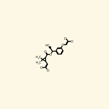 C#CC(OC(=O)C1C(C=C(Cl)Cl)C1(C)C)c1cccc(OC=C(Cl)Cl)c1